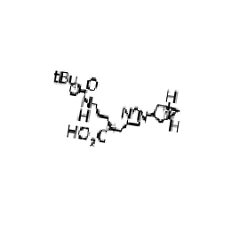 CC(C)(C)OC(=O)NCCC[C@@H](Cc1cn(C2C[C@@H]3C[C@@H]3C2)cn1)C(=O)O